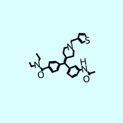 CCN(CC)C(=O)c1ccc(C(=C2CCN(Cc3ccsc3)CC2)c2cccc(NC(C)=O)c2)cc1